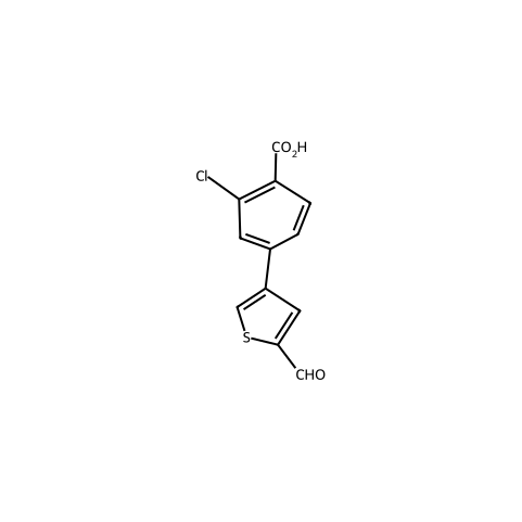 O=Cc1cc(-c2ccc(C(=O)O)c(Cl)c2)cs1